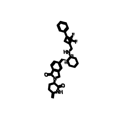 C=C1CCC(N2Cc3cc(C[C@H]4CCCC[C@@H]4NCC45CC(c6ccccc6)(C4)C5(F)F)ccc3C2=O)C(=O)N1